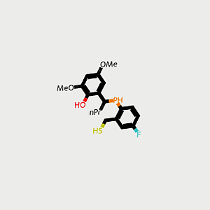 CCCC(Pc1ccc(F)cc1CS)c1cc(OC)cc(OC)c1O